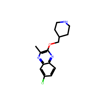 Cc1nc2cc(Cl)ccc2nc1OCC1CCNCC1